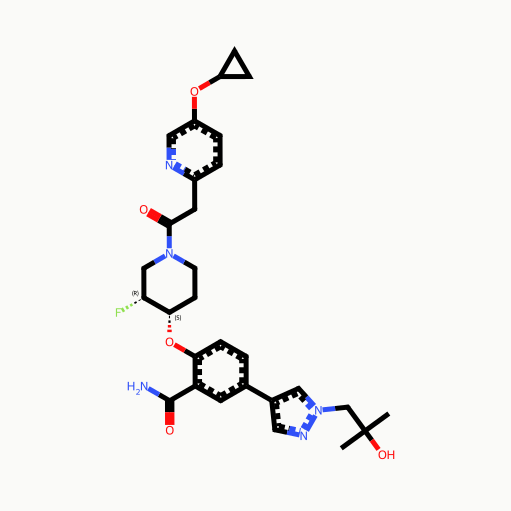 CC(C)(O)Cn1cc(-c2ccc(O[C@H]3CCN(C(=O)Cc4ccc(OC5CC5)cn4)C[C@H]3F)c(C(N)=O)c2)cn1